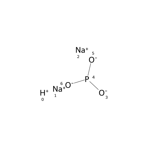 [H+].[Na+].[Na+].[O-]P([O-])[O-]